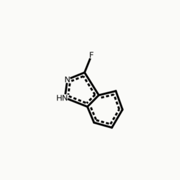 Fc1n[nH]c2ccccc12